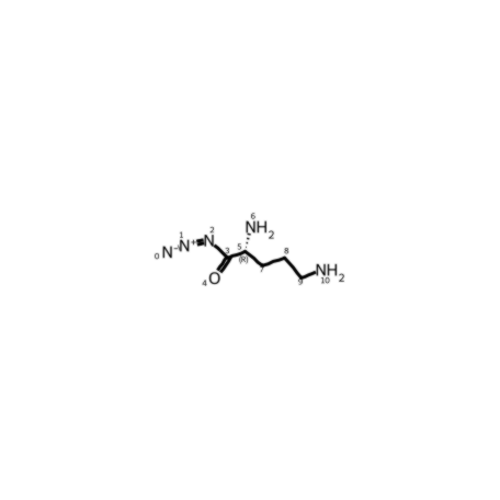 [N-]=[N+]=NC(=O)[C@H](N)CCCN